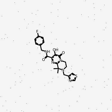 CC1(C)c2nc(C(=O)NCc3ccc(F)cc3)c(O)c(=O)n2CCN1Cc1cscn1